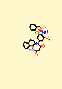 COc1cc(N2C(=O)CC(=O)Nc3c2ccc2ccccc32)ccc1NS(=O)(=O)Cc1ccccc1Cl